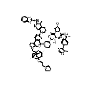 Cc1ncsc1-c1ccc([C@H](C)NC(=O)[C@@H]2C[C@@H](O)CN2C(=O)[C@@H](NC(=O)[C@@H]2CCCN(C(=O)c3nc(N4CCCc5c4nnc(Nc4nc6ccccc6s4)c5C)ccc3-c3cnn(CC45CC6(OCCN7CCCC7)C[C@](C)(C4)C[C@](C)(C5)C6)c3C)C2)C(C)(C)C)cc1